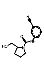 N#Cc1cccc(NC(=O)N2CCCC2CO)c1